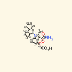 NC(=O)C(=O)c1c(C2CC2)n(Cc2ccccc2-c2ccccc2)c2cccc(OCC(=O)O)c12